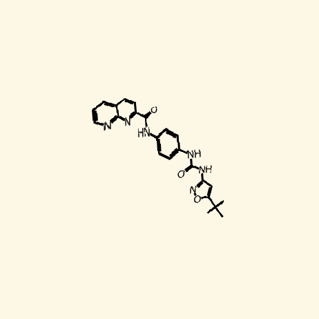 CC(C)(C)c1cc(NC(=O)Nc2ccc(NC(=O)c3ccc4cccnc4n3)cc2)no1